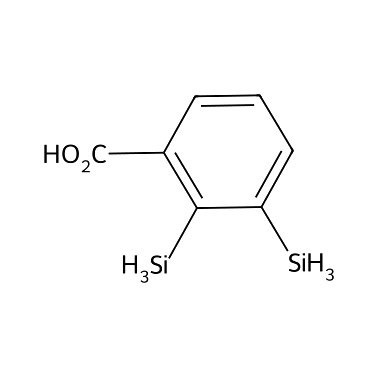 O=C(O)c1cccc([SiH3])c1[SiH3]